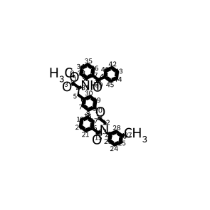 COC(=O)[C@H](Cc1ccc(OCCN(C(=O)c2ccccc2)c2cccc(C)c2)cc1)Nc1ccccc1C(=O)c1ccccc1